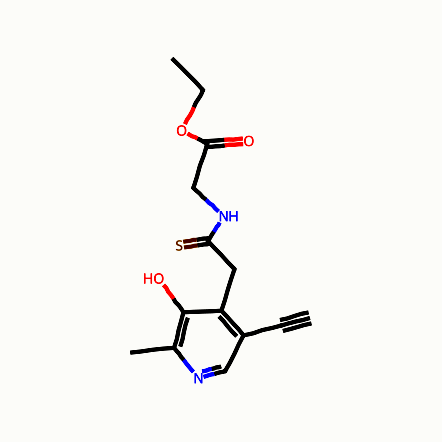 C#Cc1cnc(C)c(O)c1CC(=S)NCC(=O)OCC